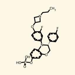 CCCN1CC(Oc2ccc(N3c4ccc(OP(=O)(O)O)cc4OC[C@H]3c3ccc(F)cc3)cc2F)C1